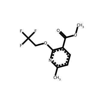 COC(=O)c1ccc(C)nc1OCC(F)(F)F